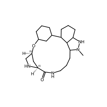 CN1NC2CCCC3C4CCCC(C4)O[C@@H]4CN[C@@H](C4)C(=O)NCCCC1C23